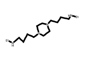 CCNCCCCN1CCN(CCCCNCC)CC1